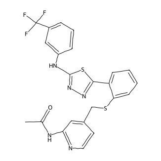 CC(=O)Nc1cc(CSc2ccccc2-c2nnc(Nc3cccc(C(F)(F)F)c3)s2)ccn1